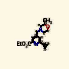 CCOC(=O)c1cc(CN2CCO[C@H](C)C2)cc(C2CC2)n1